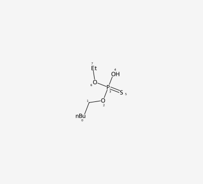 CCCCCOP(O)(=S)OCC